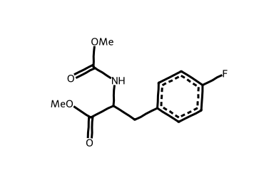 COC(=O)NC(Cc1ccc(F)cc1)C(=O)OC